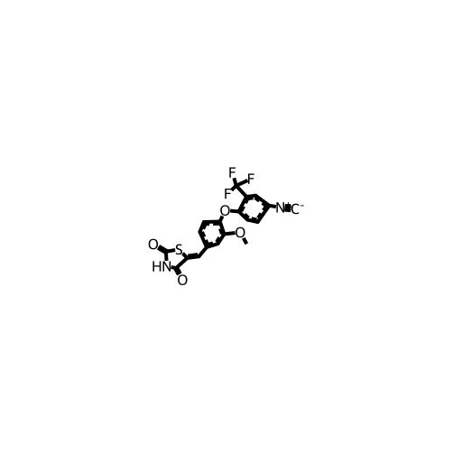 [C-]#[N+]c1ccc(Oc2ccc(/C=C3\SC(=O)NC3=O)cc2OC)c(C(F)(F)F)c1